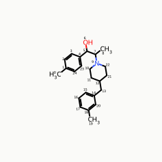 Cc1ccc(C(O)C(C)N2CCC(Cc3cccc(C)c3)CC2)cc1